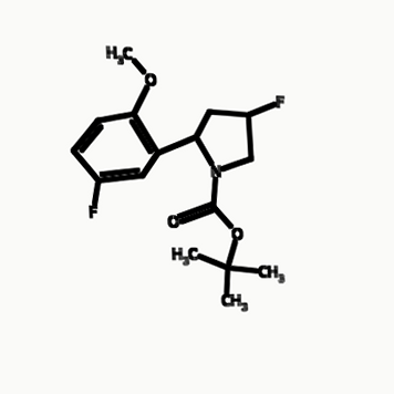 COc1ccc(F)cc1C1CC(F)CN1C(=O)OC(C)(C)C